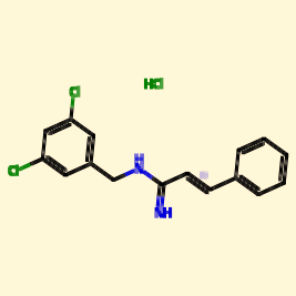 Cl.N=C(/C=C/c1ccccc1)NCc1cc(Cl)cc(Cl)c1